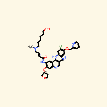 CN(C/C=C/C(=O)Nc1cc2c(Nc3ccc(OCc4ccccn4)c(Cl)c3)c(C#N)cnc2cc1O[C@H]1CCOC1)CCCCCCO